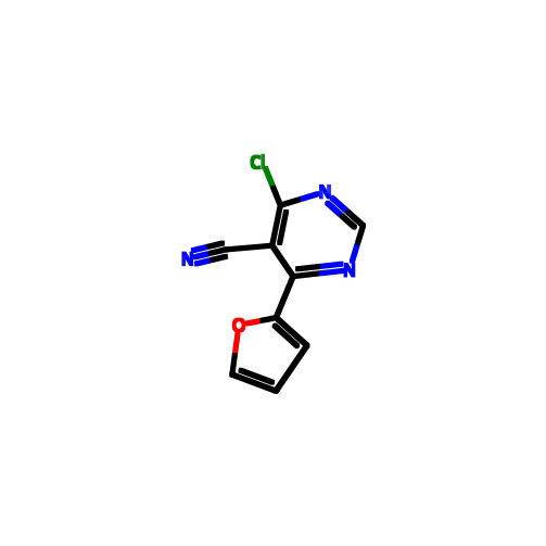 N#Cc1c(Cl)ncnc1-c1ccco1